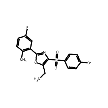 Cc1ccc(F)cc1-c1nc(S(=O)(=O)c2ccc(Br)cc2)c(CN)o1